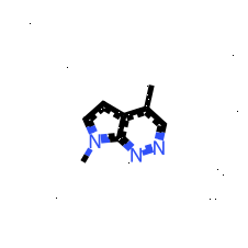 Cc1cnnc2c1ccn2C